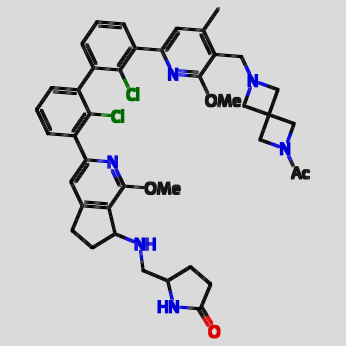 COc1nc(-c2cccc(-c3cccc(-c4cc5c(c(OC)n4)C(NCC4CCC(=O)N4)CC5)c3Cl)c2Cl)cc(C)c1CN1CC2(C1)CN(C(C)=O)C2